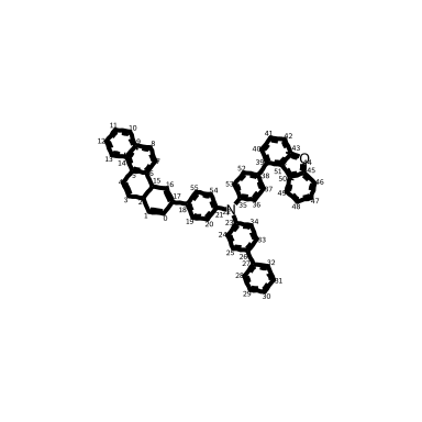 C1=CC2C=Cc3c(ccc4ccccc34)C2C=C1c1ccc(N(c2ccc(-c3ccccc3)cc2)c2ccc(-c3cccc4oc5ccccc5c34)cc2)cc1